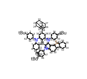 CC(C)(C)c1ccc(N2c3ccc(C(C)(C)C)cc3B3c4c2cc(C2C5CC6CC(C5)CC2C6)cc4N(c2ccc(C(C)(C)C)cc2)c2c3n(-c3ccc(C(C)(C)C)cc3)c3ccc4c5ccccc5sc4c23)cc1